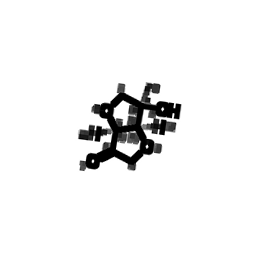 C[C@@]1(O)CO[C@@H]2C(=O)CO[C@@H]21